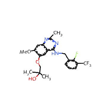 COc1cc2nc(C)nc(NCc3cccc(C(F)(F)F)c3F)c2cc1OCC(C)(C)O